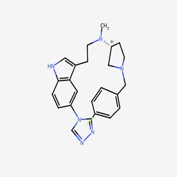 CN(CCc1c[nH]c2ccc(-n3cnnc3)cc12)[C@@H]1CCN(Cc2ccc(F)cc2)C1